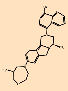 C[C@@H]1CN(c2ccc(C#N)c3ncccc23)CC2=C3CC=C(N4CCOC[C@@H](N)C4)C=C3CN21